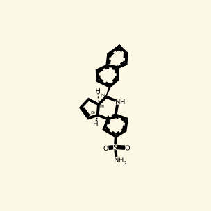 NS(=O)(=O)c1ccc2c(c1)[C@H]1C=CC[C@H]1[C@@H](c1ccc3ccccc3c1)N2